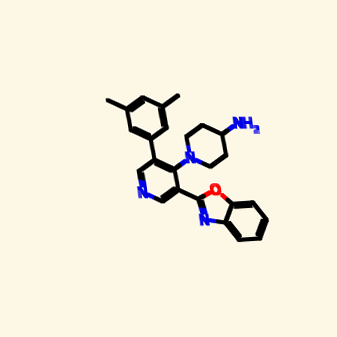 Cc1cc(C)cc(-c2cncc(-c3nc4ccccc4o3)c2N2CCC(N)CC2)c1